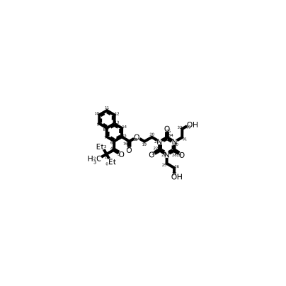 CCC(C)(CC)C(=O)c1cc2ccccc2cc1C(=O)OCCn1c(=O)n(CCO)c(=O)n(CCO)c1=O